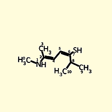 CN/C(C)=C/C=C(/S)C(C)C